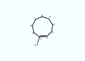 IC1=CCCCCCCC1